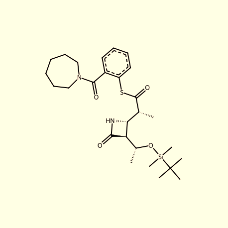 C[C@@H](O[Si](C)(C)C(C)(C)C)[C@H]1C(=O)N[C@@H]1[C@@H](C)C(=O)Sc1ccccc1C(=O)N1CCCCCC1